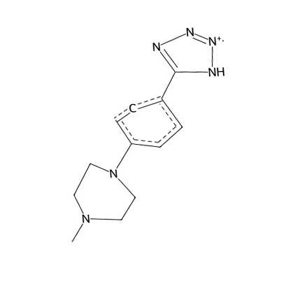 CN1CCN(c2ccc(C3=NN=[N+]N3)cc2)CC1